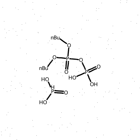 CCCCOP(=O)(OCCCC)OP(=O)(O)O.O=[PH](O)O